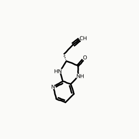 C#CC[C@H]1Nc2ncccc2NC1=O